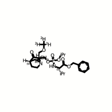 [2H]C([2H])([2H])OC[C@]1(COP(=O)(N[C@H](C(=O)OCc2ccccc2)C(C)C)OC(C)C)C(=O)[C@H]2CCN1[C@H](C)C2